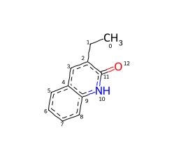 CCc1cc2ccccc2[nH]c1=O